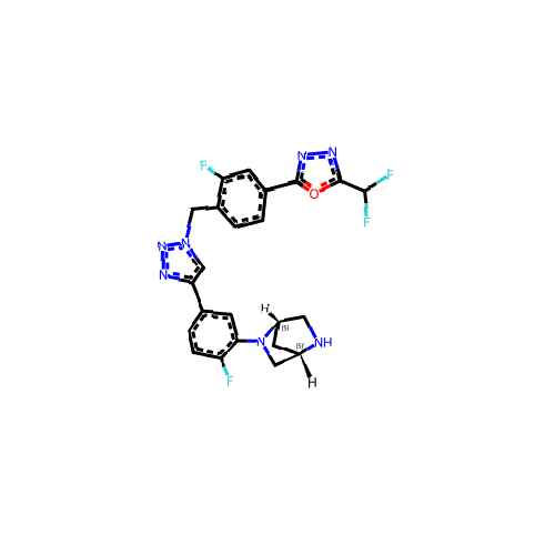 Fc1cc(-c2nnc(C(F)F)o2)ccc1Cn1cc(-c2ccc(F)c(N3C[C@@H]4C[C@H]3CN4)c2)nn1